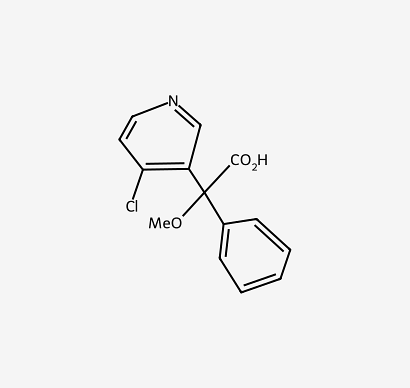 COC(C(=O)O)(c1ccccc1)c1cnccc1Cl